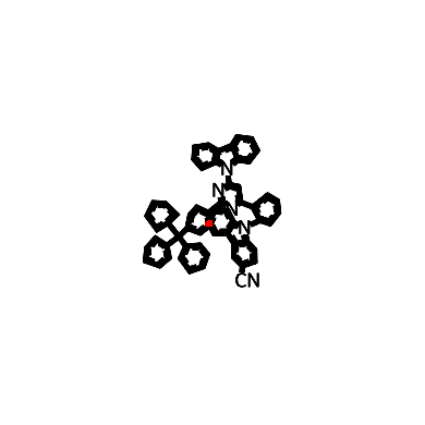 N#Cc1ccc2c(c1)c1ccccc1n2-c1ccccc1-c1cc(-n2c3ccccc3c3ccccc32)nc(-c2ccc(C(c3ccccc3)(c3ccccc3)c3ccccc3)cc2)n1